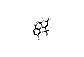 Nc1ccc(Cl)cc1-n1c(C(F)(F)F)cc(=O)[nH]c1=O